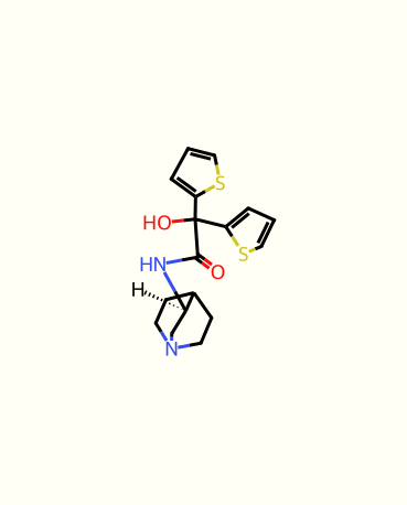 O=C(N[C@@H]1CN2CCC1CC2)C(O)(c1cccs1)c1cccs1